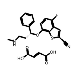 CNCC[C@@H](Oc1ccc(F)c2cc(C#N)sc12)c1ccccc1.O=C(O)C=CC(=O)O